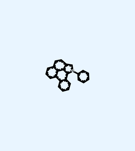 c1ccc(-n2cc3ccc4cccc5c6ccccc6c2c3c45)cc1